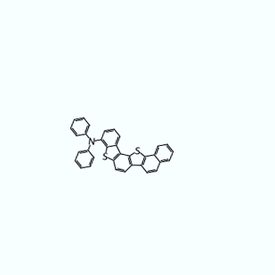 c1ccc(N(c2ccccc2)c2cccc3c2sc2ccc4c5ccc6ccccc6c5sc4c23)cc1